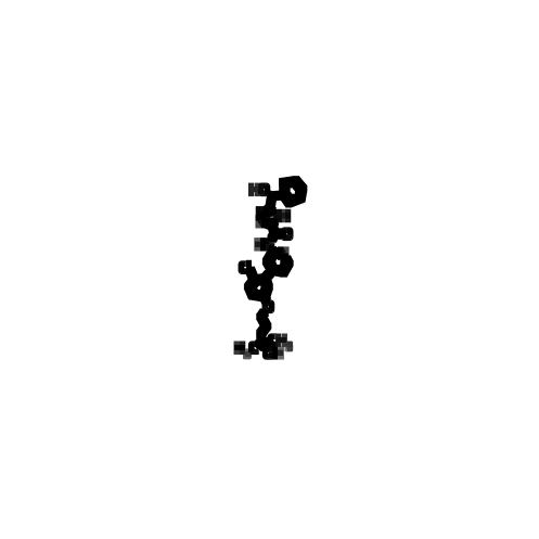 CC(C)(O)CCCOc1ccc(Cl)c(-c2ccnc(NC(=O)c3nnc([C@H](O)c4ccccc4)[nH]3)c2)c1